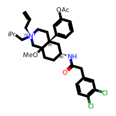 C=CC[N@@+]1(CC(C)C)CC[C@]2(c3cccc(OC(C)=O)c3)C[C@H](NC(=O)Cc3ccc(Cl)c(Cl)c3)CCC2(OC)C1